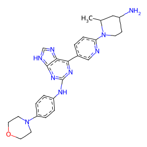 CC1CC(N)CCN1c1ccc(-c2nc(Nc3ccc(N4CCOCC4)cc3)nc3[nH]cnc23)cn1